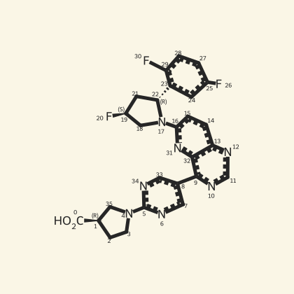 O=C(O)[C@@H]1CCN(c2ncc(-c3ncnc4ccc(N5C[C@@H](F)C[C@@H]5c5cc(F)ccc5F)nc34)cn2)C1